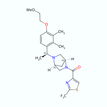 COCCOc1ccc([C@H](C)N2C[C@@H]3C[C@H]2CN3C(=O)c2csc(C(F)(F)F)n2)c(C)c1C